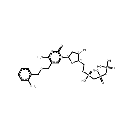 Nc1nc(=O)n([C@H]2C[C@H](O)[C@@H](COP(=O)(O)OP(=O)(O)OP(=O)(O)O)O2)cc1COCc1ccccc1[N+](=O)[O-]